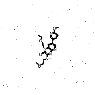 CCOCCn1c(=O)c(NCCN(C)C)nc2ncc(-c3ccc(OC)nc3)cc21